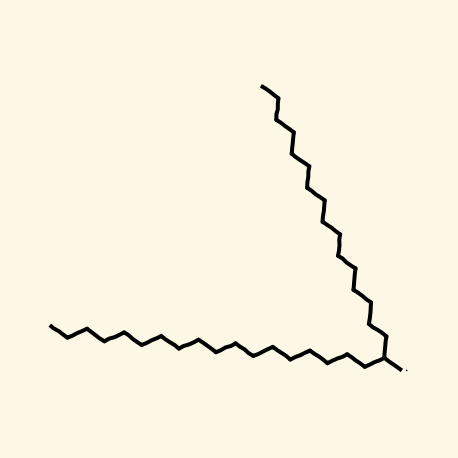 [CH2]C(CCCCCCCCCCCCCCCC)CCCCCCCCCCCCCCCCCC